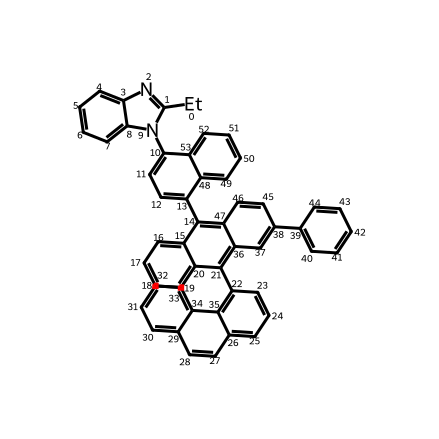 CCc1nc2ccccc2n1-c1ccc(-c2c3ccccc3c(-c3cccc4ccc5ccccc5c34)c3cc(-c4ccccc4)ccc23)c2ccccc12